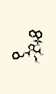 C=CC[C@@H](C(=O)O)[C@@H]1[C@@H](NS(=O)(=O)c2cccc3cccnc23)CCN1C(=O)OCc1ccccc1